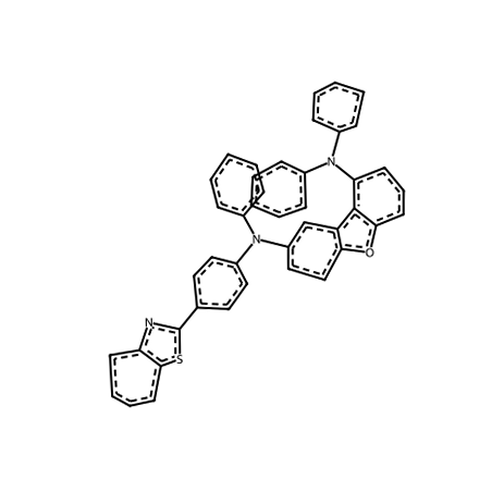 c1ccc(N(c2ccc(-c3nc4ccccc4s3)cc2)c2ccc3oc4cccc(N(c5ccccc5)c5ccccc5)c4c3c2)cc1